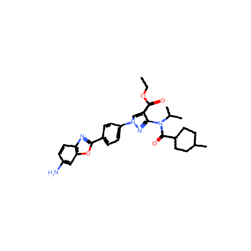 CCOC(=O)c1cn(-c2ccc(-c3nc4ccc(N)cc4o3)cc2)nc1N(C(=O)C1CCC(C)CC1)C(C)C